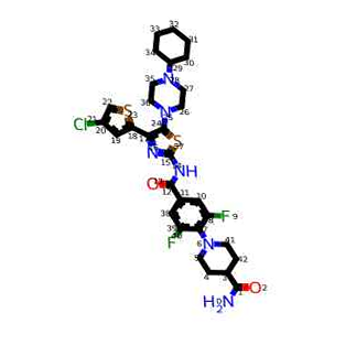 NC(=O)C1CCN(c2c(F)cc(C(=O)Nc3nc(-c4cc(Cl)cs4)c(N4CCN(C5CCCCC5)CC4)s3)cc2F)CC1